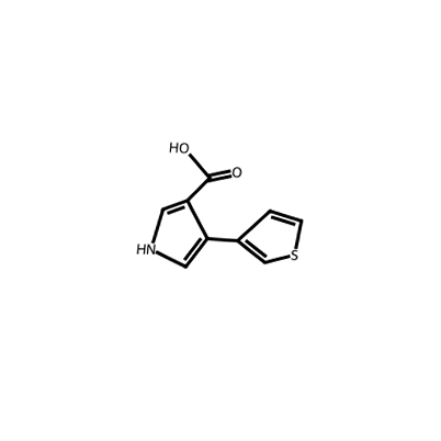 O=C(O)c1c[nH]cc1-c1ccsc1